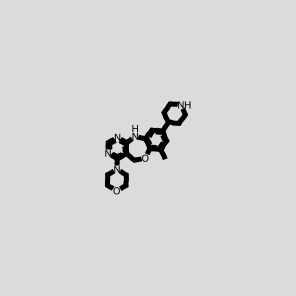 Cc1cc(C2CCNCC2)cc2c1OCc1c(ncnc1N1CCOCC1)N2